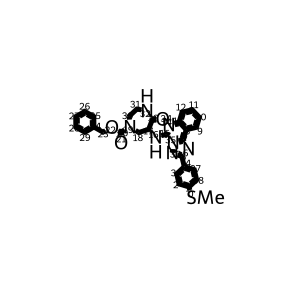 CSc1ccc(-c2nc3c4ccccc4nc(N[C@@H]4CN(C(=O)OCc5ccccc5)CCNC4=O)n3n2)cc1